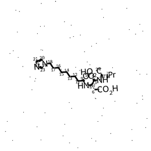 CC(C)[C@H](NC(=O)[C@H](CC(=O)O)NC(=O)CCCCCCCCn1ccnc1)C(=O)O